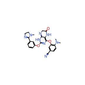 CN1CCN=C1c1cccc(OC2=NC(Oc3cc(C#N)ccc3N(C)C)=C3NC(=O)CN=C3N2)c1